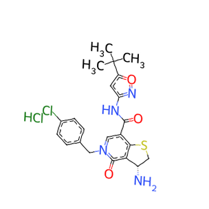 CC(C)(C)c1cc(NC(=O)c2cn(Cc3ccc(Cl)cc3)c(=O)c3c2SC[C@@H]3N)no1.Cl